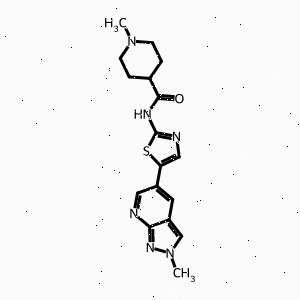 CN1CCC(C(=O)Nc2ncc(-c3cnc4nn(C)cc4c3)s2)CC1